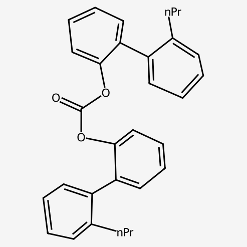 CCCc1ccccc1-c1ccccc1OC(=O)Oc1ccccc1-c1ccccc1CCC